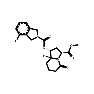 COC(=O)[C@@H]1C[C@@H](OC(=O)N2Cc3cccc(F)c3C2)[C@H]2CCCC(=O)N21